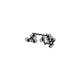 COC(=O)CC/C(C)=C/Cc1c(OC)c(C)c2c(c1OCOC(=O)C(C)CCCCCCCCC(C)C(=O)OC(COC(C)=O)COC(C)=O)C(=O)OC2